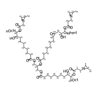 CCCCCCCCC(OC(=O)CCN1CC1C)C(O)CCCCCCCC(=O)OCC(COC(=O)CCCCCCCC(O)C(CCCCCCCC)OC(=O)CN1CC1C)OC(=O)CCCCCCCC1OC1CC(O)C(CCCCC)OC(=O)CCN1CC1C